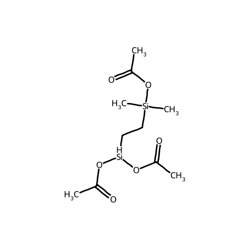 CC(=O)O[SiH](CC[Si](C)(C)OC(C)=O)OC(C)=O